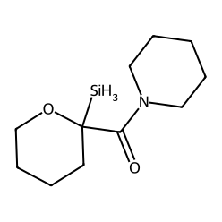 O=C(N1CCCCC1)C1([SiH3])CCCCO1